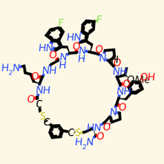 CO[C@@H](C)[C@@H]1NC(=O)[C@@H]2CCCN2C(=O)[C@H](Cc2c[nH]c3ccc(F)cc23)NC(=O)[C@H](Cc2c[nH]c3ccc(F)cc23)NC(=O)CNC(=O)[C@H](CCCCN)NC(=O)CCSCc2cccc(c2)CSC[C@@H](C(N)=O)NC(=O)[C@]2(C)CCCN2C(=O)[C@H](Cc2ccc(O)cc2)NC1=O